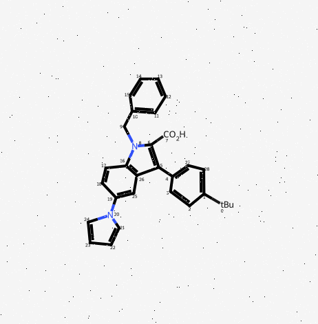 CC(C)(C)c1ccc(-c2c(C(=O)O)n(Cc3ccccc3)c3ccc(-n4cccc4)cc23)cc1